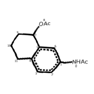 CC(=O)Nc1ccc2c(c1)C(OC(C)=O)CCC2